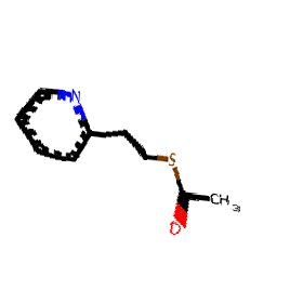 CC(=O)SCCc1ccccn1